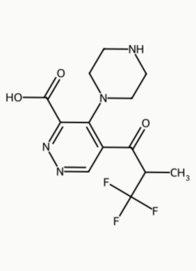 CC(C(=O)c1cnnc(C(=O)O)c1N1CCNCC1)C(F)(F)F